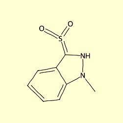 Cn1[nH]c(=S(=O)=O)c2ccccc21